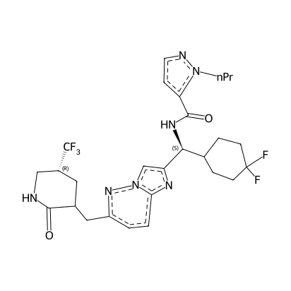 CCCn1nccc1C(=O)N[C@H](c1cn2nc(CC3C[C@@H](C(F)(F)F)CNC3=O)ccc2n1)C1CCC(F)(F)CC1